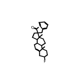 CC(=O)C1(Cc2ccccc2)CCC2C3CC=C4CC(F)CCC4(C)C3CCC21C